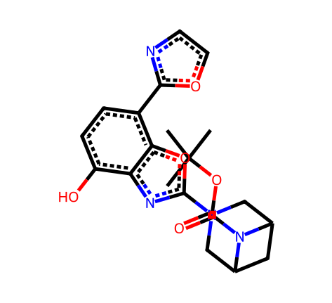 CC(C)(C)OC(=O)N1C2CC1CN(c1nc3c(O)ccc(-c4ncco4)c3o1)C2